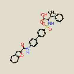 CC(c1ccccc1)C(NS(=O)(=O)c1ccc(-c2ccc(NC(=O)c3cc4ccccc4o3)cc2)cc1)C(=O)O